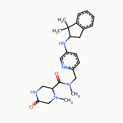 CN(Cc1ccc(NC2Cc3ccccc3C2(C)C)cn1)C(=O)C1CNC(=O)CN1C